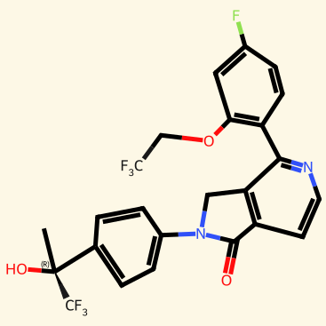 C[C@@](O)(c1ccc(N2Cc3c(ccnc3-c3ccc(F)cc3OCC(F)(F)F)C2=O)cc1)C(F)(F)F